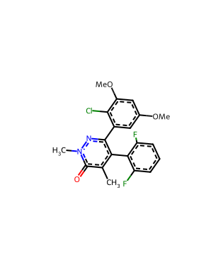 COc1cc(OC)c(Cl)c(-c2nn(C)c(=O)c(C)c2-c2c(F)cccc2F)c1